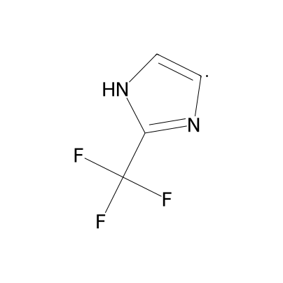 FC(F)(F)c1n[c]c[nH]1